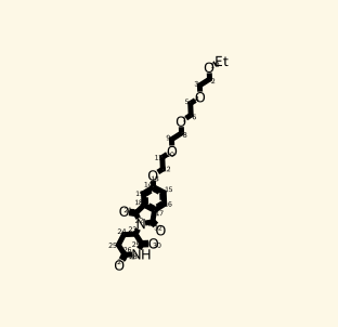 CCOCCOCCOCCOCCOc1ccc2c(c1)C(=O)N(C1CCC(=O)NC1=O)C2=O